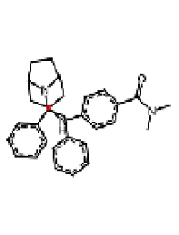 CN(C)C(=O)c1ccc(NC2(c3ccccc3)CC3CCC(C2)N3CCc2ccccc2)cc1